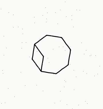 C1CCC2CC(CC1)C2